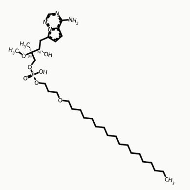 CCCCCCCCCCCCCCCCCCOCCCOP(=O)(O)OC[C@@](C)(OC)[C@@H](O)Cc1ccc2c(N)ncnn12